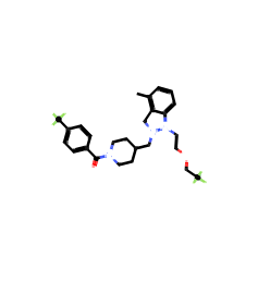 Cc1cccc2c1CN(CC1CCN(C(=O)c3ccc(C(F)(F)F)cc3)CC1)N2CCOCC(F)(F)F